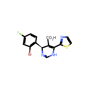 O=C(O)C1=C(c2nccs2)NC=N[C@H]1c1ccc(F)cc1Br